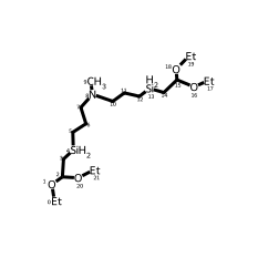 CCOC(C[SiH2]CCCN(C)CCC[SiH2]CC(OCC)OCC)OCC